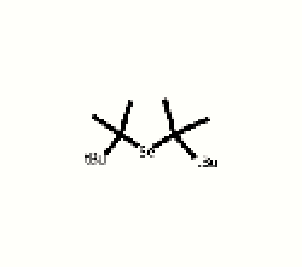 CC(C)(C)C(C)(C)[Se]C(C)(C)C(C)(C)C